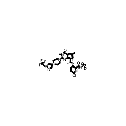 Cc1cc([C@@H](C)Nc2ccc(Cl)nc2C(=O)NS(C)(=O)=O)c2nc(N3CCN(c4cnn(CC(F)(F)F)c4)CC3)n(C)c(=O)c2c1